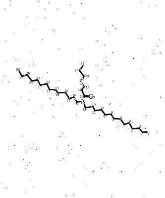 CCCCCCCCCCCCCCN(CCCCCCCCCCCCCC)C(=O)CCSCCC